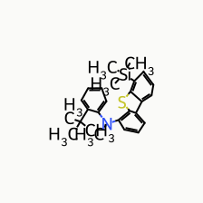 CN(c1ccccc1C(C)(C)C)c1cccc2c1sc1c([Si](C)(C)C)cccc12